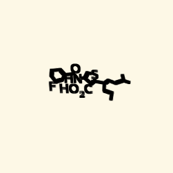 C/C=C/C(=C\C=C(C)C)c1scc(NC(=O)c2cccc(F)c2)c1C(=O)O